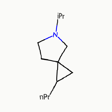 CCCC1CC12CCN(C(C)C)C2